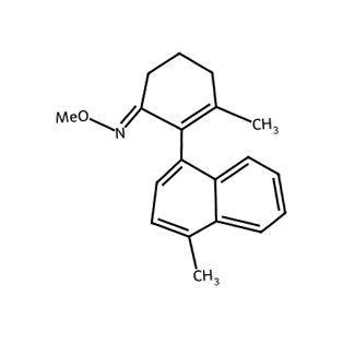 CO/N=C1\CCCC(C)=C1c1ccc(C)c2ccccc12